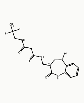 CC(=O)N1C[C@H](CNC(=O)CC(=O)NCC(F)(F)C(F)(F)F)C(=O)Nc2ccccc21